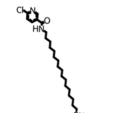 O=C(NCCCCCCCCCCCCCCCCCO)c1ccc(Cl)nc1